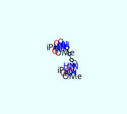 COC(=O)N[C@H](C(=O)NC1(c2nc3ccc(-c4ccc(-c5ccc6c(c5)CCc5nc([C@@H]7CCCN7C(=O)[C@@H](NC(=O)OC)C(C)C)[nH]c5-6)cc4)cc3[nH]2)CCCCC1)C(C)C